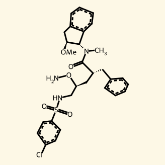 CO[C@H]1Cc2ccccc2[C@@H]1N(C)C(=O)[C@H](Cc1ccccc1)C[C@@H](CNS(=O)(=O)c1ccc(Cl)cc1)ON